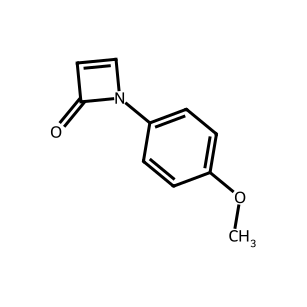 COc1ccc(N2C=CC2=O)cc1